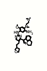 COc1cc(N(C)CCN(C)C)c(N)cc1Nc1ncc(CCC2CCOC2)c(-c2cn3c4c(cccc24)CCC3)n1